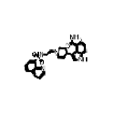 NC(=O)c1cccc2[nH]cc(C3CCN(CCNS(=O)(=O)c4cccc5cccnc45)CC3)c12